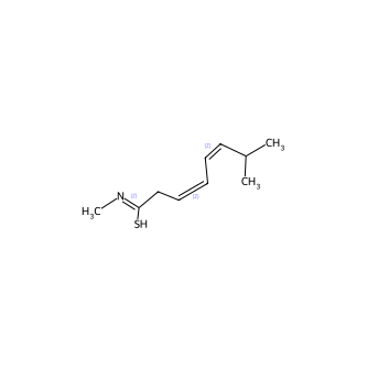 C/N=C(\S)C/C=C\C=C/C(C)C